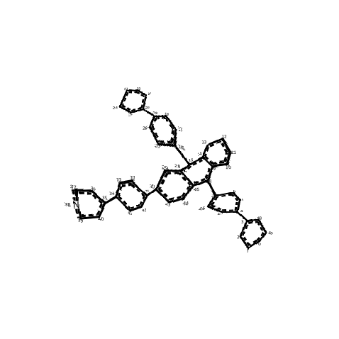 c1ccc(-c2ccc(-c3c4ccccc4c(-c4ccc(-c5ccccc5)cc4)c4cc(-c5ccc(-c6ccncc6)cc5)ccc34)cc2)cc1